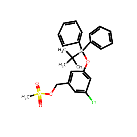 CC(C)(C)[Si](Oc1cc(Cl)cc(COS(C)(=O)=O)c1)(c1ccccc1)c1ccccc1